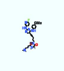 COc1ccc(Nc2nc(Nc3ccc(F)nc3)ncc2C#CCCCNC(=O)[C@H](C)N(C)C(=O)/C=C/CN(C)C)cc1